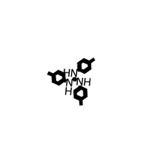 Cc1ccc(NC(Nc2ccc(C)cc2)Nc2ccc(C)cc2)cc1